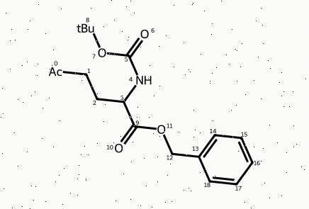 CC(=O)CCC(NC(=O)OC(C)(C)C)C(=O)OCc1ccccc1